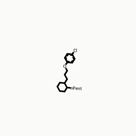 CCCCCC1CCCCC1CCCOc1ccc(Cl)cc1